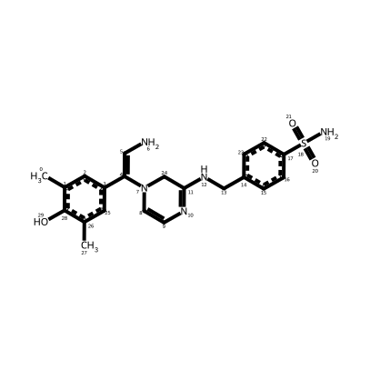 Cc1cc(/C(=C/N)N2C=CN=C(NCc3ccc(S(N)(=O)=O)cc3)C2)cc(C)c1O